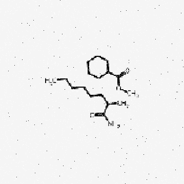 CCCCCCC(C)C(N)=O.COC(=O)C1CCCCC1